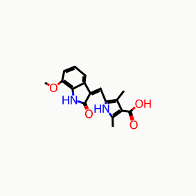 COc1cccc2c1NC(=O)/C2=C\c1[nH]c(C)c(C(=O)O)c1C